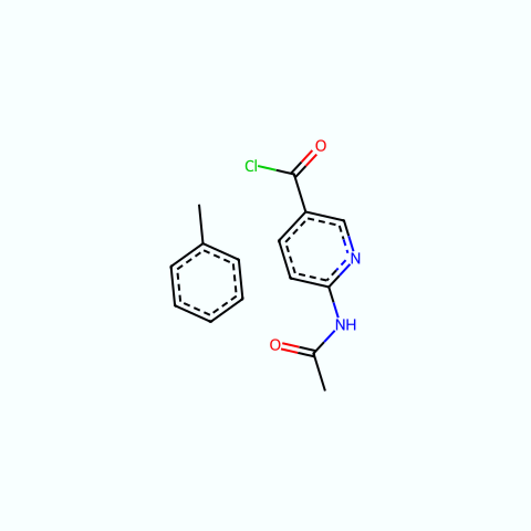 CC(=O)Nc1ccc(C(=O)Cl)cn1.Cc1ccccc1